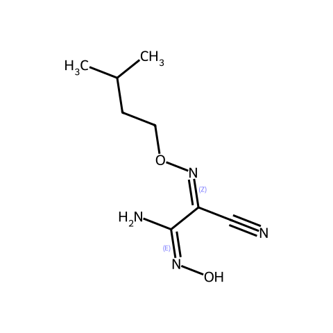 CC(C)CCO/N=C(C#N)\C(N)=N/O